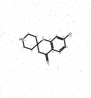 O=C1CC2(CCNCC2)Sc2cc(Cl)ccc21